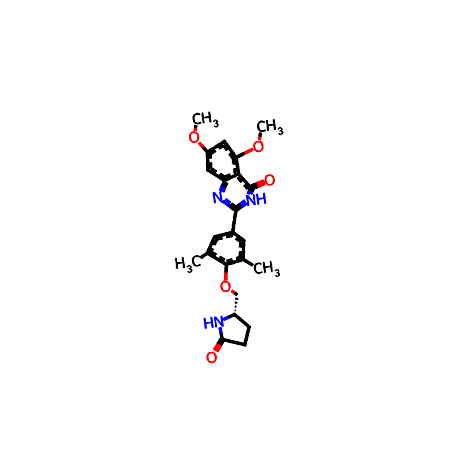 COc1cc(OC)c2c(=O)[nH]c(-c3cc(C)c(OC[C@@H]4CCC(=O)N4)c(C)c3)nc2c1